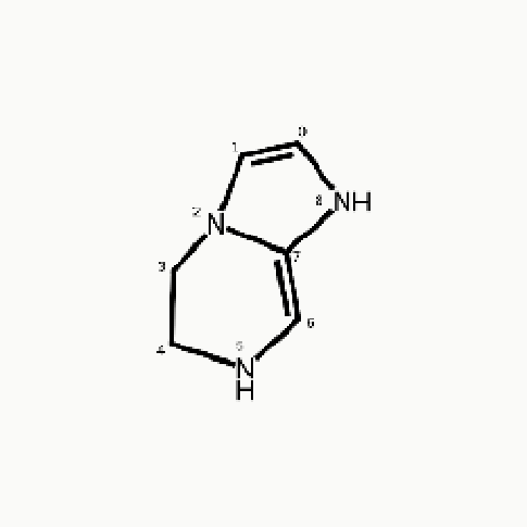 C1=CN2CCNC=C2N1